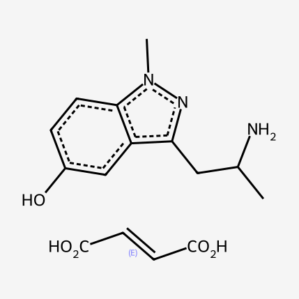 CC(N)Cc1nn(C)c2ccc(O)cc12.O=C(O)/C=C/C(=O)O